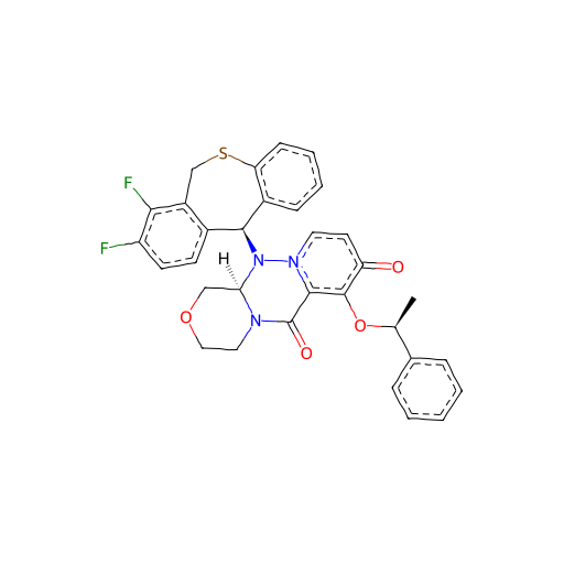 C[C@H](Oc1c2n(ccc1=O)N([C@@H]1c3ccccc3SCc3c1ccc(F)c3F)[C@@H]1COCCN1C2=O)c1ccccc1